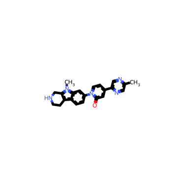 Cc1cnc(-c2ccn(-c3ccc4c5c(n(C)c4c3)CNCC5)c(=O)c2)cn1